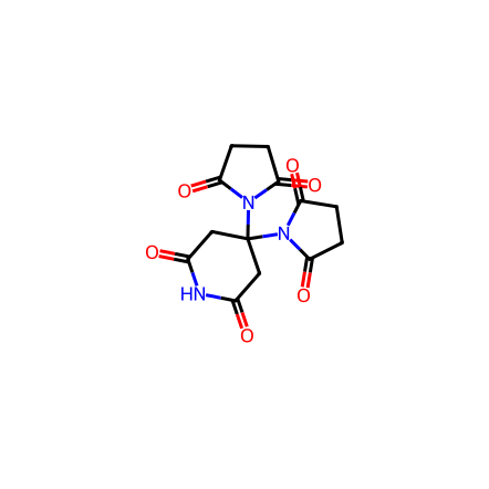 O=C1CC(N2C(=O)CCC2=O)(N2C(=O)CCC2=O)CC(=O)N1